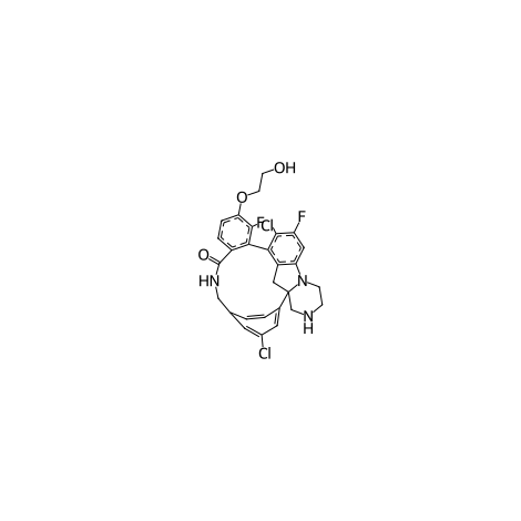 O=C1NCC2C=CC(=CC(Cl)=C2)C23CNCCN2c2cc(F)c(Cl)c(c2C3)-c2c1ccc(OCCO)c2F